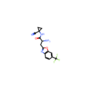 N#CC1(NC(=O)C(N)Cc2nc3ccc(C(F)(F)F)cc3o2)CC1